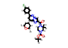 C[C@@H]1C[C@H](c2cc(-c3ccc(F)cc3)nn3cc(C(=O)N4CCN(C(=O)OC(C)(C)C)CC4(C)C)nc23)C[C@H](C)O1